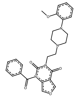 COc1ccccc1N1CCN(CCn2c(=O)c3cocc3n(C(=O)c3ccccc3)c2=O)CC1